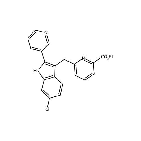 CCOC(=O)c1cccc(Cc2c(-c3cccnc3)[nH]c3cc(Cl)ccc23)n1